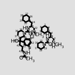 CNC[C@H](CC1CCCCC1)NC(=O)N1CCCCC1.CNC[C@H](CC1CCCCC1)NC(=O)N1CCC[C@@H]([C@@](O)(CCCNC(C)=O)c2cc(F)cc(Cl)c2)C1